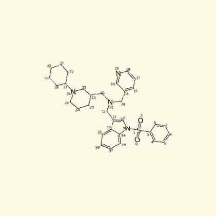 O=S(=O)(c1ccccc1)n1cc(CN(Cc2cccnc2)CC2CCCN(C3CCCCC3)C2)c2ccccc21